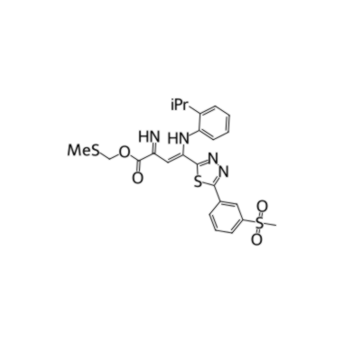 CSCOC(=O)C(=N)/C=C(\Nc1ccccc1C(C)C)c1nnc(-c2cccc(S(C)(=O)=O)c2)s1